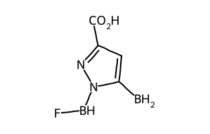 Bc1cc(C(=O)O)nn1BF